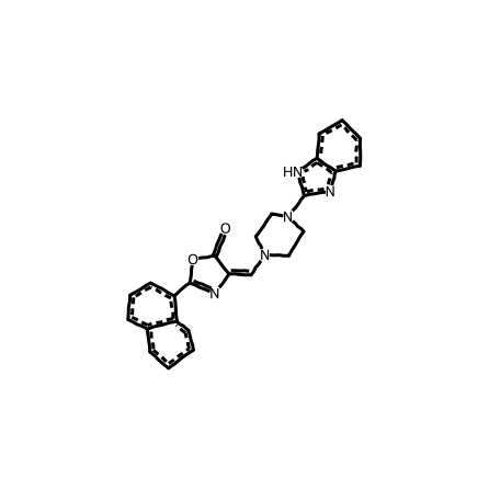 O=C1OC(c2cccc3ccccc23)=N/C1=C/N1CCN(c2nc3ccccc3[nH]2)CC1